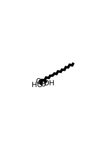 CCCCCCCCCCCCCCCC(O)CS(=O)(=O)O